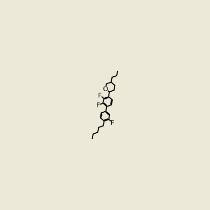 CCCCCc1ccc(-c2ccc(C3CCC(CCC)CO3)c(F)c2F)cc1F